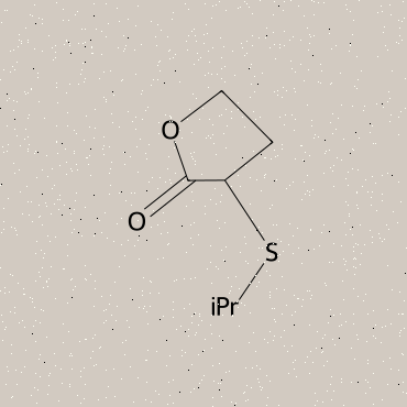 CC(C)SC1CCOC1=O